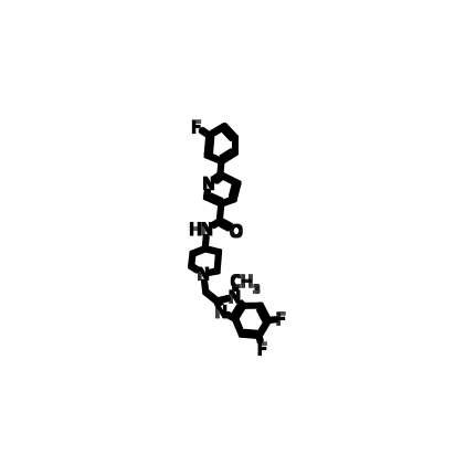 Cn1c(CN2CCC(NC(=O)c3ccc(-c4cccc(F)c4)nc3)CC2)nc2cc(F)c(F)cc21